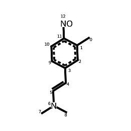 Cc1cc(/C=C/N(C)C)ccc1N=O